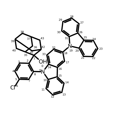 OC1(c2ccc(Cl)cc2-n2c3ccccc3c3cc(-n4c5ccccc5c5ccccc54)ccc32)C2CC3CC(C2)CC1C3